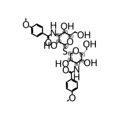 COc1ccc(C(=O)N[C@H]2[C@@H](O)[C@@H](CO)O[C@@H](S[C@@H]3O[C@H](CO)[C@H](O)[C@H](NC(=O)c4ccc(OC)cc4)[C@H]3O)[C@@H]2O)cc1